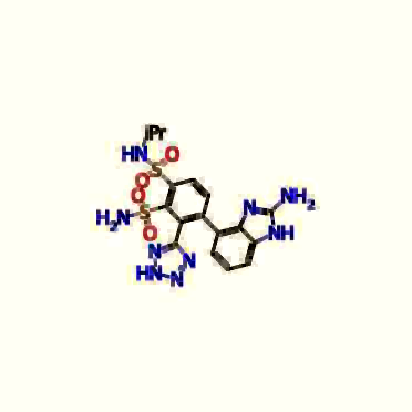 CC(C)NS(=O)(=O)c1ccc(-c2cccc3[nH]c(N)nc23)c(-c2nn[nH]n2)c1S(N)(=O)=O